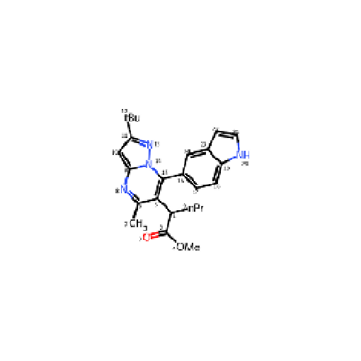 CCCC(C(=O)OC)c1c(C)nc2cc(C(C)(C)C)nn2c1-c1ccc2[nH]ccc2c1